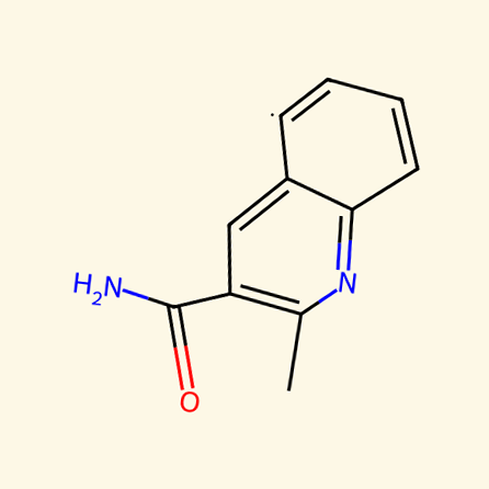 Cc1nc2ccc[c]c2cc1C(N)=O